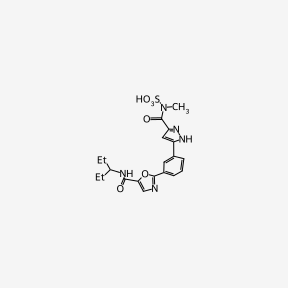 CCC(CC)NC(=O)c1cnc(-c2cccc(-c3cc(C(=O)N(C)S(=O)(=O)O)n[nH]3)c2)o1